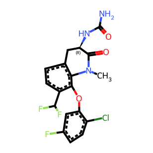 CN1C(=O)[C@H](NC(N)=O)Cc2ccc(C(F)F)c(Oc3cc(F)ccc3Cl)c21